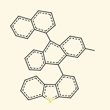 Cc1ccc2c(-c3cccc4ccccc34)c3ccccc3c(-c3cccc4sc5ccccc5c34)c2c1